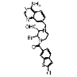 CCC1C(C=O)N(Cc2ccc3c(N)ncnc3c2)CCN1C(=O)c1ccc2cc(Cl)sc2c1